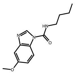 CCCCNC(=O)n1cnc2cc(OC)ccc21